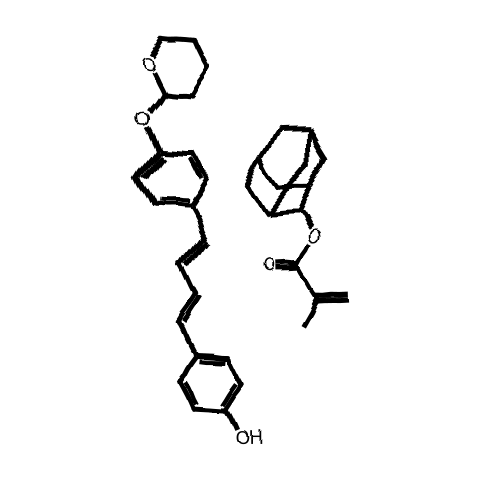 C=C(C)C(=O)OC1C2CC3CC(C2)CC1C3.Oc1ccc(C=CC=Cc2ccc(OC3CCCCO3)cc2)cc1